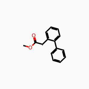 COC(=O)[CH]c1ccccc1-c1ccccc1